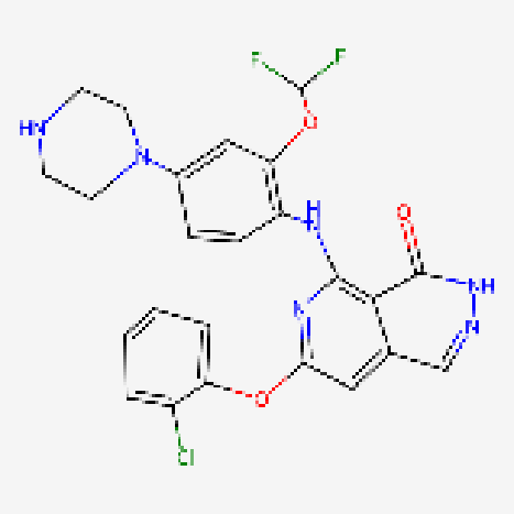 O=c1[nH]ncc2cc(Oc3ccccc3Cl)nc(Nc3ccc(N4CCNCC4)cc3OC(F)F)c12